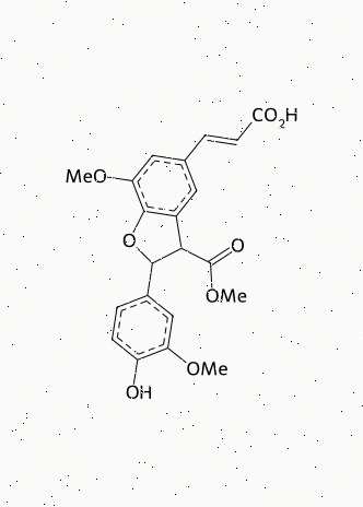 COC(=O)C1c2cc(C=CC(=O)O)cc(OC)c2OC1c1ccc(O)c(OC)c1